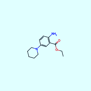 CCOC(=O)c1cc(N2CCCCC2)ccc1N